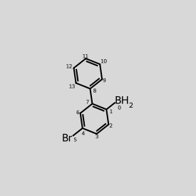 Bc1ccc(Br)cc1-c1ccccc1